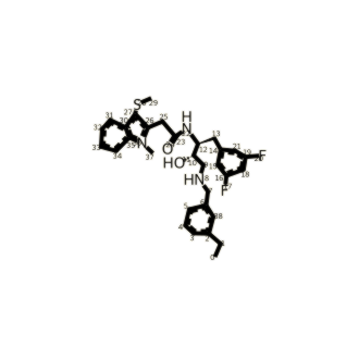 CCc1cccc(CNC[C@H](O)[C@H](Cc2cc(F)cc(F)c2)NC(=O)Cc2c(SC)c3ccccc3n2C)c1